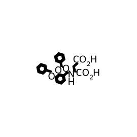 O=C(O)CC[C@H](NC(=O)c1cccc(OCc2ccccc2)c1OCc1ccccc1)C(=O)O